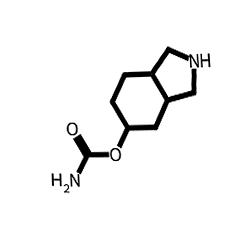 NC(=O)OC1CCC2CNCC2C1